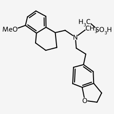 COc1cccc2c1CCCC2CN(C)CCc1ccc2c(c1)CCO2.CS(=O)(=O)O